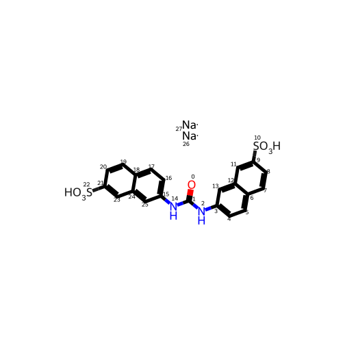 O=C(Nc1ccc2ccc(S(=O)(=O)O)cc2c1)Nc1ccc2ccc(S(=O)(=O)O)cc2c1.[Na].[Na]